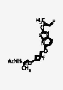 CC(=O)N[C@@H](C)CO[C@H]1C[C@](F)(COc2ccc3nc(OC(C)CF)sc3n2)C1